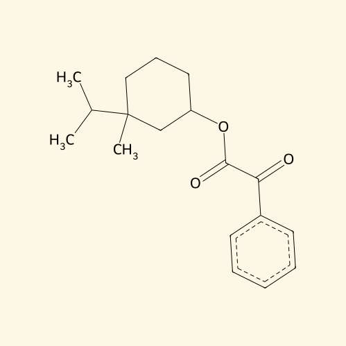 CC(C)C1(C)CCCC(OC(=O)C(=O)c2ccccc2)C1